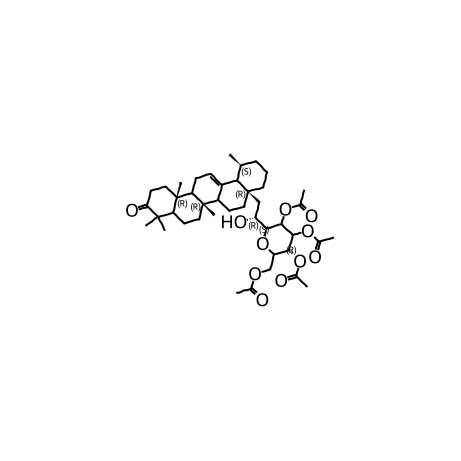 CC(=O)OCC1O[C@@H]([C@H](O)C[C@]23CCC[C@H](C)C2C2=CCC4[C@@](C)(CCC5C(C)(C)C(=O)CC[C@@]54C)C2CC3)C(OC(C)=O)C(OC(C)=O)[C@@H]1OC(C)=O